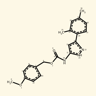 COc1ccc(COC(=O)Nc2cc(-c3ccc(C)cc3C)n[nH]2)cc1